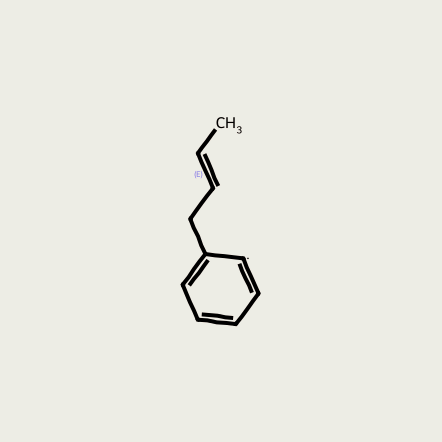 C/C=C/Cc1[c]cccc1